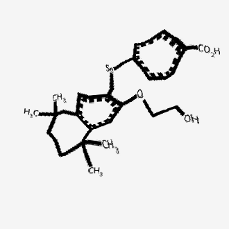 CC1(C)CCC(C)(C)c2cc([Se]c3ccc(C(=O)O)cc3)c(OCCO)cc21